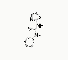 CN(C(=S)Nc1nccs1)c1ccccc1